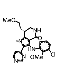 COCC[C@@H]1CNC(=O)c2c(Nc3cccc(Cl)c3OC)c(-c3ccncn3)n(C)c21